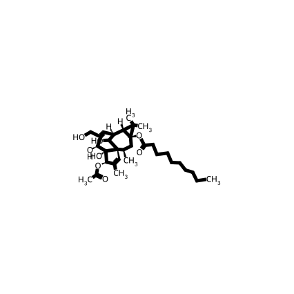 CCCCCCCCCC(=O)O[C@@]12C[C@@H](C)[C@]34C=C(C)[C@H](OC(C)=O)[C@@]3(O)[C@H](O)C(CO)=C[C@H](C4O)[C@@H]1C2(C)C